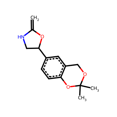 C=C1NCC(c2ccc3c(c2)COC(C)(C)O3)O1